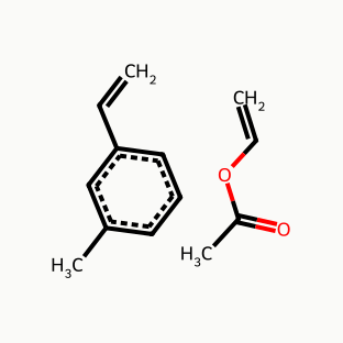 C=COC(C)=O.C=Cc1cccc(C)c1